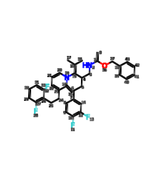 C=C(NCC(CCc1ccc(F)c(F)c1)C(=C(C)C)N1C=CC=C(CCc2c(F)cccc2F)C1=C)OCc1ccccc1